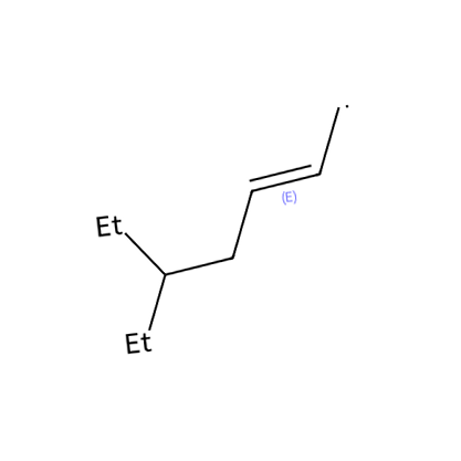 [CH2]/C=C/CC(CC)CC